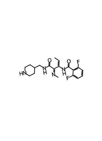 C/C=C(NC(=O)c1c(F)cccc1F)\C(=N/C)C(=O)NCC1CCNCC1